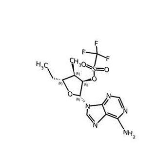 CC[C@H]1O[C@@H](n2cnc3c(N)ncnc32)[C@H](OS(=O)(=O)C(F)(F)F)[C@@H]1C